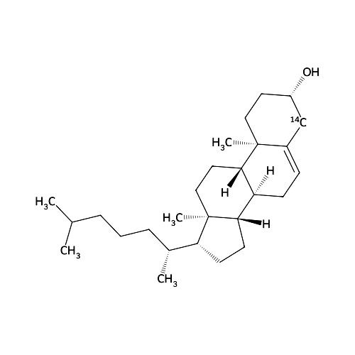 CC(C)CCC[C@@H](C)[C@H]1CC[C@H]2[C@@H]3CC=C4[14CH2][C@@H](O)CC[C@]4(C)[C@H]3CC[C@]12C